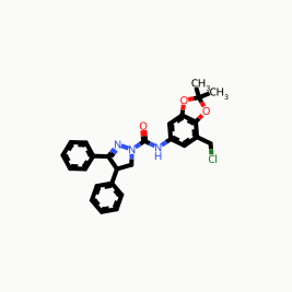 CC1(C)Oc2cc(NC(=O)N3CC(c4ccccc4)C(c4ccccc4)=N3)cc(CCl)c2O1